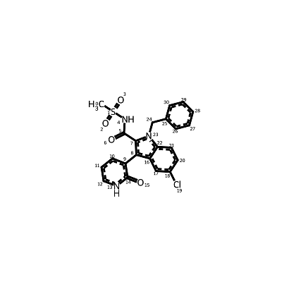 CS(=O)(=O)NC(=O)c1c(-c2ccc[nH]c2=O)c2cc(Cl)ccc2n1Cc1ccccc1